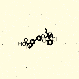 CCCc1onc(-c2c(Cl)cccc2Cl)c1COc1ccc(-c2ccc3c(C(=O)O)nccc3c2)cc1